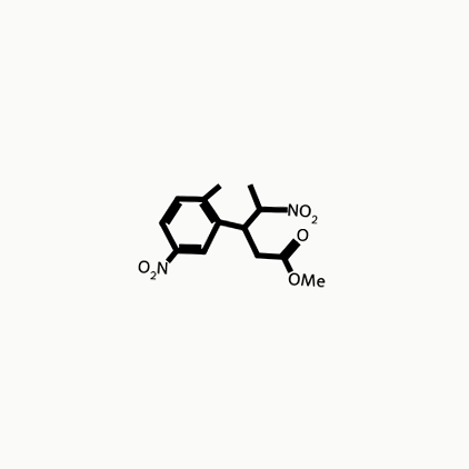 COC(=O)CC(c1cc([N+](=O)[O-])ccc1C)C(C)[N+](=O)[O-]